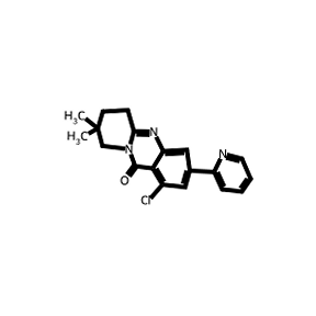 CC1(C)CCc2nc3cc(-c4ccccn4)cc(Cl)c3c(=O)n2C1